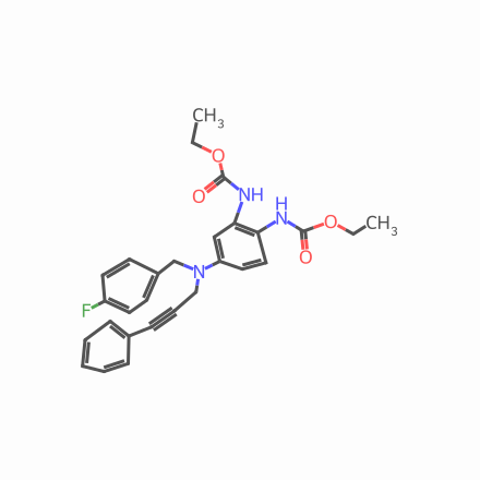 CCOC(=O)Nc1ccc(N(CC#Cc2ccccc2)Cc2ccc(F)cc2)cc1NC(=O)OCC